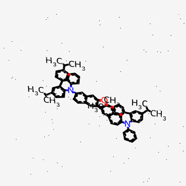 CC(C)c1ccc(-c2cc(C(C)C)ccc2N(c2ccccc2)c2ccc3cc4c(cc3c2)oc2cc3cc(N(c5ccccc5)c5ccc(C(C)C)cc5-c5ccc(C(C)C)cc5)ccc3cc24)cc1